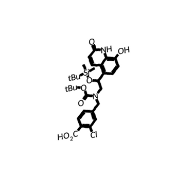 CC(C)(C)OC(=O)N(Cc1ccc(C(=O)O)c(Cl)c1)CC(O[Si](C)(C)C(C)(C)C)c1ccc(O)c2[nH]c(=O)ccc12